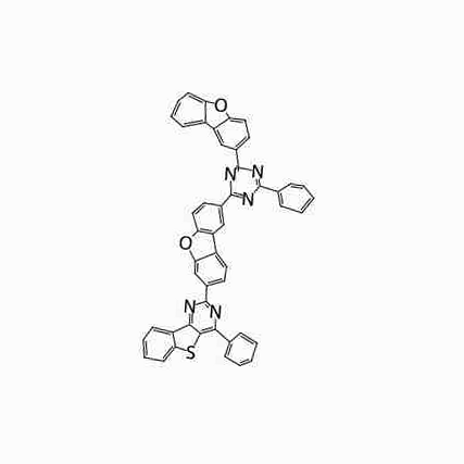 c1ccc(-c2nc(-c3ccc4oc5ccccc5c4c3)nc(-c3ccc4oc5cc(-c6nc(-c7ccccc7)c7sc8ccccc8c7n6)ccc5c4c3)n2)cc1